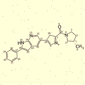 C[C@H]1CCN(C(=O)C2=NC=C(c3cnc4[nH]c(-c5ccccc5)cc4c3)C2)C1